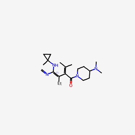 C=N/C(NC1(C)CC1)=C(\CC)C(C(=O)N1CCC(N(C)C)CC1)=C(C)C